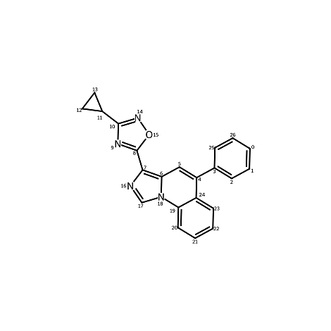 c1ccc(-c2cc3c(-c4nc(C5CC5)no4)ncn3c3ccccc23)cc1